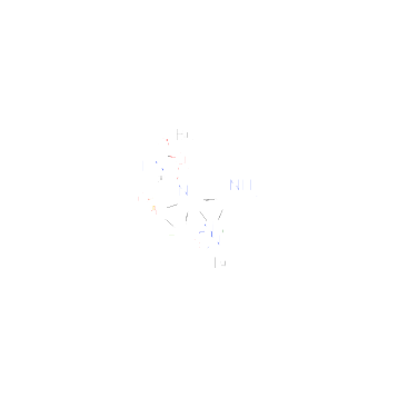 CC(C)(C)OC(=O)N[C@H]1CS(=O)(=O)c2cc(F)c(-c3nnc(C(C)(C)C)o3)cc2N(Cc2ccc(Cl)cc2CN)C1=O